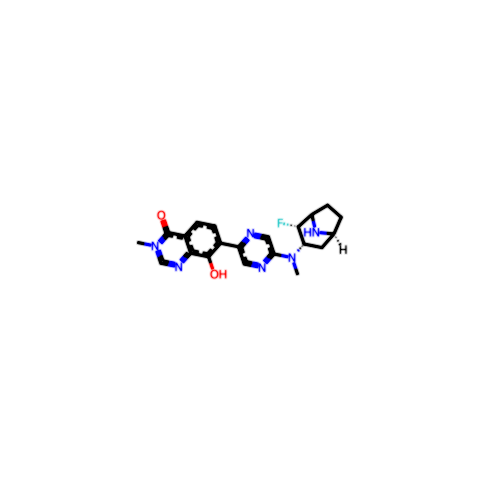 CN(c1cnc(-c2ccc3c(=O)n(C)cnc3c2O)cn1)[C@H]1C[C@@H]2CCC(N2)[C@H]1F